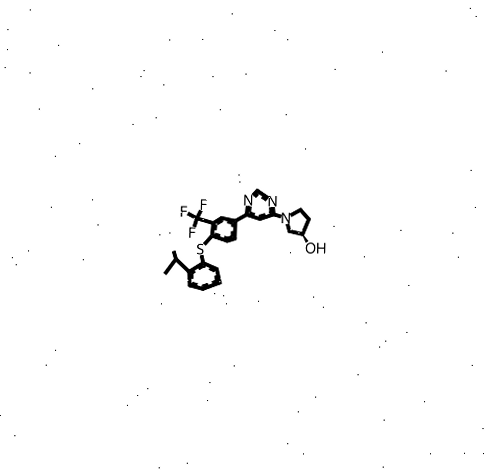 CC(C)c1ccccc1Sc1ccc(-c2cc(N3CC[C@@H](O)C3)ncn2)cc1C(F)(F)F